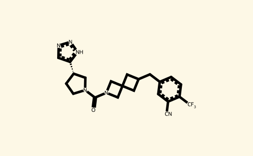 N#Cc1cc(CC2CC3(C2)CN(C(=O)N2CC[C@H](c4cnn[nH]4)C2)C3)ccc1C(F)(F)F